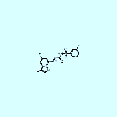 Cc1c[nH]c2c(/C=C/C(=O)NS(=O)(=O)c3cccc(F)c3)cc(F)cc12